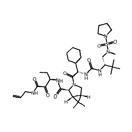 C=CCNC(=O)C(=O)C(CC)NC(=O)[C@@H]1[C@@H]2[C@H](CN1C(=O)[C@@H](NC(=O)N[C@H](CN(C)S(=O)(=O)N1CCCC1)C(C)(C)C)C1CCCCC1)C2(C)C